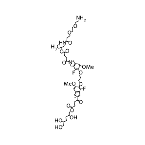 COc1cc2c(c(F)c1OCCCOc1c(OC)cc3sc(C(=O)CCC(=O)OCC(O)CCC(O)CO)cc3c1F)CN(C(=O)CCC(=O)O[C@@H](C)CNC(=O)CCOCCOCCN)C2